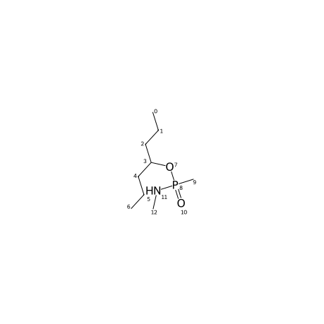 CCCC(CCC)OP(C)(=O)NC